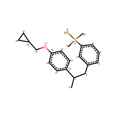 CC(Cc1cccc(S(C)(C)S)c1)c1ccc(OCC2CC2)cc1